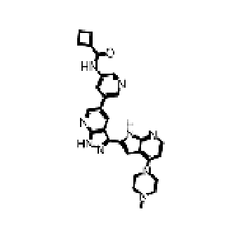 CN1CCN(c2ccnc3[nH]c(-c4n[nH]c5ncc(-c6cncc(NC(=O)C7CCC7)c6)cc45)cc23)CC1